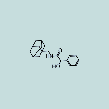 O=C(NCC12CC3CC(CC(C3)C1)C2)C(O)c1ccccc1